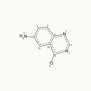 Nc1ccc2ncnc(Cl)c2c1